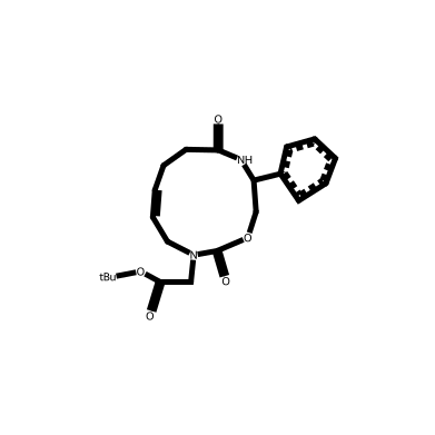 CC(C)(C)OC(=O)CN1CC=CCCC(=O)NC(c2ccccc2)COC1=O